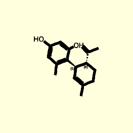 C=C(C)[C@@H]1CCC(C)=C[C@H]1c1c(C)cc(O)cc1O